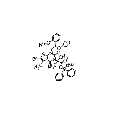 COc1ccccc1C(Cn1c(=O)n(C(C)(C)C(=O)O[Si](c2ccccc2)(c2ccccc2)C(C)(C)C)c(=O)c2c(C)c(Br)sc21)OC1COC1